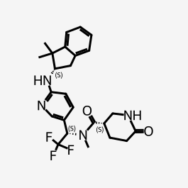 CN(C(=O)[C@H]1CCC(=O)NC1)[C@@H](c1ccc(N[C@H]2Cc3ccccc3C2(C)C)nc1)C(F)(F)F